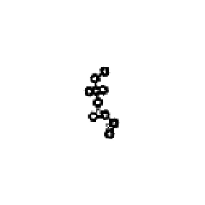 c1ccc(-c2cccc(-c3c4ccccc4c(-c4ccc(-n5c6ccccc6c6cc(-c7cccc8c7sc7ccccc78)ccc65)cc4)c4ccccc34)c2)cc1